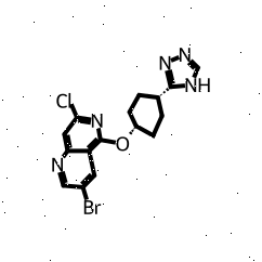 Clc1cc2ncc(Br)cc2c(O[C@H]2CC[C@@H](c3nnc[nH]3)CC2)n1